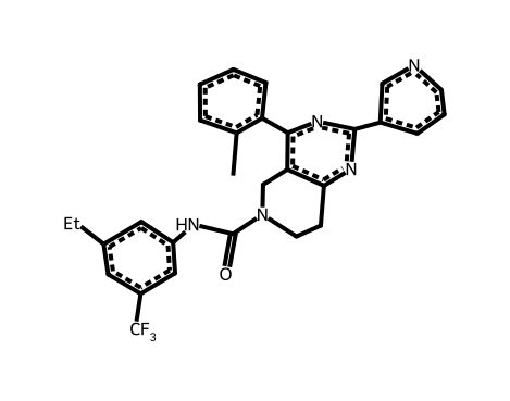 CCc1cc(NC(=O)N2CCc3nc(-c4cccnc4)nc(-c4ccccc4C)c3C2)cc(C(F)(F)F)c1